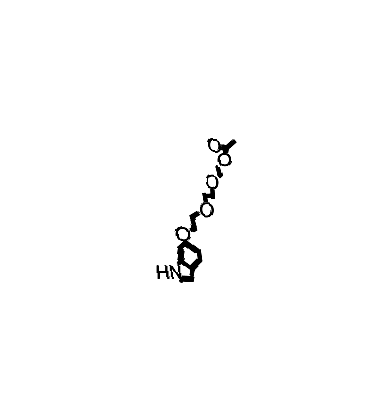 CC(=O)OCCOCCOCCOc1ccc2cc[nH]c2c1